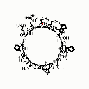 CCCC[C@H]1C(=O)N(C)[C@@H](CCCC)C(=O)N[C@@H](CCCNC(=N)N)C(=O)N[C@H](C(=O)NCC(N)=O)CSCC(=O)N[C@@H](Cc2ccccc2)C(=O)N(C)[C@@H](C)C(=O)N[C@@H](CC(N)=O)C(=O)N2CCC2C(=O)N[C@@H](Cc2cnc[nH]2)C(=O)N[C@@H](CC(C)C)C(=O)N(C)CC(=O)N[C@@H](Cc2c[nH]c3ccccc23)C(=O)N[C@@H](CO)C(=O)N[C@@H](Cc2c[nH]c3ccccc23)C(=O)N1C